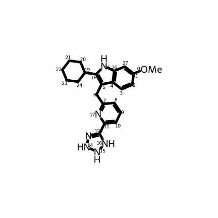 COc1ccc2c(Cc3cccc(C4=NNNN4)n3)c(C3CCCCC3)[nH]c2c1